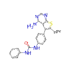 CCCc1sc2ncnc(N)c2c1-c1ccc(NC(=O)Nc2ccccc2)cc1